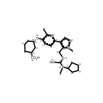 Cc1nc(-c2cnn(C)c2COC(O)N(C)C2CCCC2)ccc1O[C@H]1CCC[C@H](C(=O)O)C1